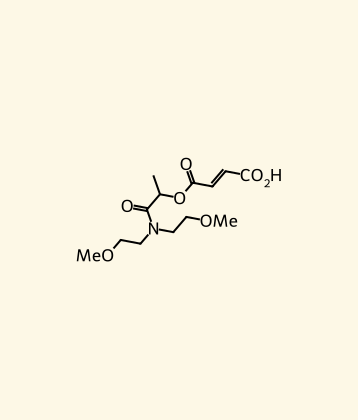 COCCN(CCOC)C(=O)C(C)OC(=O)C=CC(=O)O